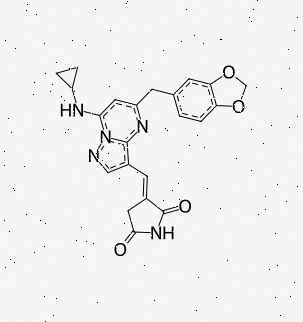 O=C1C/C(=C\c2cnn3c(NC4CC4)cc(Cc4ccc5c(c4)OCO5)nc23)C(=O)N1